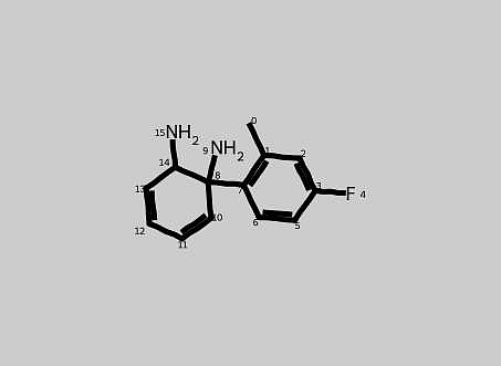 Cc1cc(F)ccc1C1(N)C=CC=CC1N